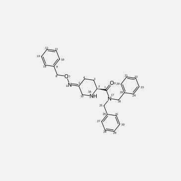 O=C([C@@H]1CCC(=NOCc2ccccc2)CN1)N(Cc1ccccc1)Cc1ccccc1